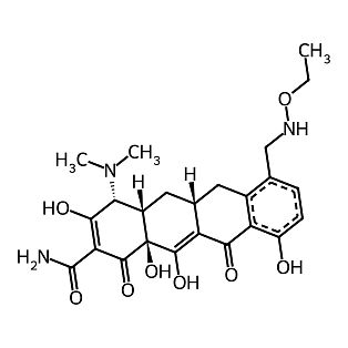 CCONCc1ccc(O)c2c1C[C@H]1C[C@H]3[C@@H](N(C)C)C(O)=C(C(N)=O)C(=O)[C@@]3(O)C(O)=C1C2=O